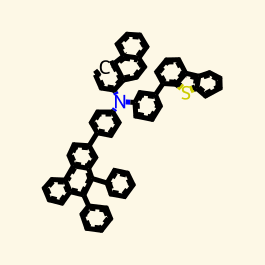 c1ccc(-c2c(-c3ccccc3)c3cc(-c4ccc(N(c5cccc(-c6cccc7c6sc6ccccc67)c5)c5cccc6c5ccc5ccccc56)cc4)ccc3c3ccccc23)cc1